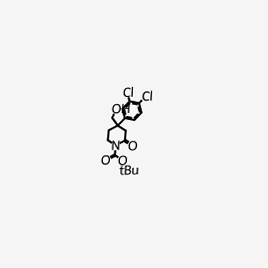 CC(C)(C)OC(=O)N1CCC(CO)(c2ccc(Cl)c(Cl)c2)CC1=O